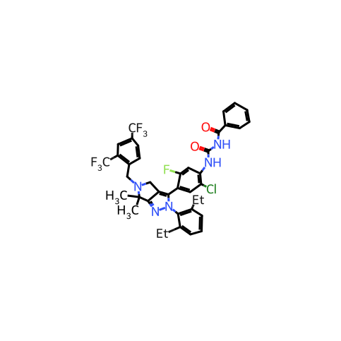 CCc1cccc(CC)c1-n1nc2c(c1-c1cc(Cl)c(NC(=O)NC(=O)c3ccccc3)cc1F)CN(Cc1ccc(C(F)(F)F)cc1C(F)(F)F)C2(C)C